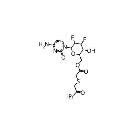 CC(C)C(=O)CSCC(=O)OC[C@H]1O[C@@H](n2ccc(N)nc2=O)C(F)[C@@H](F)[C@H]1O